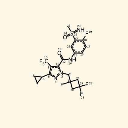 CC1(Cn2nc(C3CC3)c(C(F)(F)F)c2C(=O)Nc2ccc(F)c(S(C)(=N)=O)c2)CC(F)(F)C1